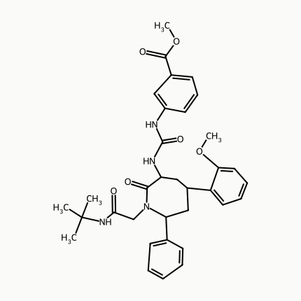 COC(=O)c1cccc(NC(=O)NC2CC(c3ccccc3OC)CC(c3ccccc3)N(CC(=O)NC(C)(C)C)C2=O)c1